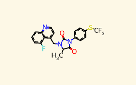 CC1C(=O)N(c2ccc(SC(F)(F)F)cc2)C(=O)N1Cc1ccnc2cccc(F)c12